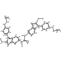 CCc1nc2cc(C(C)C(=O)C(C)c3ccc4c(c3)nc(CC)n4-c3ccc(CCN)cc3)ccc2n1-c1ccc(CCN)cc1